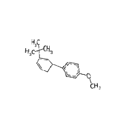 COc1ccc(C2C=C(C(C)(C)C)C=CC2)cc1